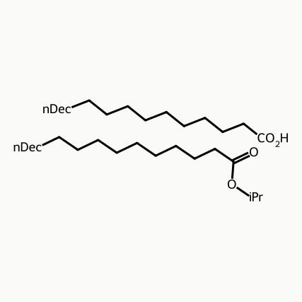 CCCCCCCCCCCCCCCCCCCC(=O)O.CCCCCCCCCCCCCCCCCCCC(=O)OC(C)C